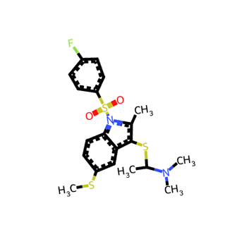 CSc1ccc2c(c1)c(SC(C)N(C)C)c(C)n2S(=O)(=O)c1ccc(F)cc1